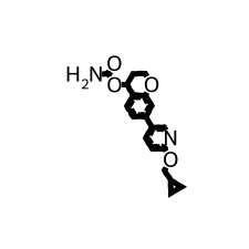 NC(=O)OC1CCOc2cc(-c3ccc(OCC4CC4)nc3)ccc21